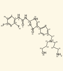 Cc1cc(NC(=O)Nc2nc(=O)c(-c3ccc(CN(CCCN)CCCO)cc3)c[nH]2)c(F)cc1F